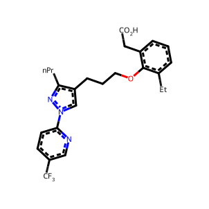 CCCc1nn(-c2ccc(C(F)(F)F)cn2)cc1CCCOc1c(CC)cccc1CC(=O)O